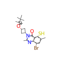 Cc1cc(Br)c2nc(C)n(C3CC(O[Si](C)(C)C(C)(C)C)C3)c(=O)c2c1S